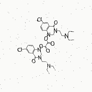 CCN(CC)CCN1CN(OC(=O)C(=O)ON2CN(CCN(CC)CC)C(=O)c3cc(Cl)ccc32)c2ccc(Cl)cc2C1=O